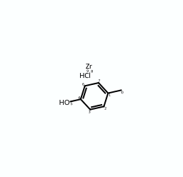 Cc1ccc(O)cc1.Cl.[Zr]